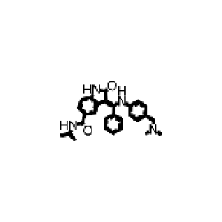 CC(C)NC(=O)c1ccc2c(c1)/C(=C(/Nc1ccc(CN(C)C)cc1)c1ccccc1)C(=O)N2